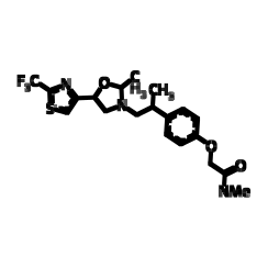 CNC(=O)COc1ccc(C(C)CN2CC(c3csc(C(F)(F)F)n3)OC2C)cc1